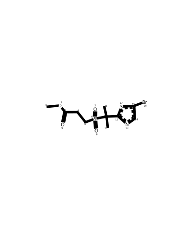 COC(=O)CCS(=O)(=O)C(C)(C)c1ncc(Br)s1